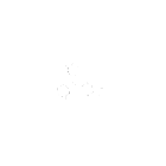 FC(F)(F)c1ccc(N(c2cccnc2)c2cccnc2)cc1